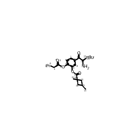 CC(C)CC(=O)Oc1ccc(C(=O)C(N)C(C)(C)C)cc1OC(=O)C1(C)CC(C)C1